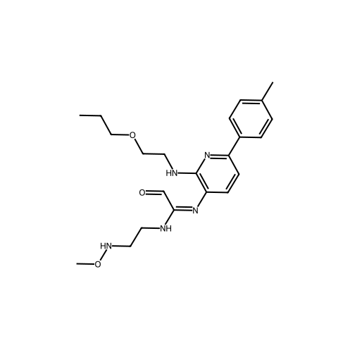 CCCOCCNc1nc(-c2ccc(C)cc2)ccc1/N=C(\C=O)NCCNOC